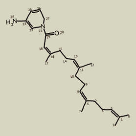 CC(C)=CCCC(C)=CCCC(C)=CCCC(C)=CC(=O)N1C=C(N)C=CC1